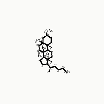 CC(=O)OC1CC[C@]2(C)[C@H]3CC[C@]4(C)[C@@H]([C@H](C)CCCC(C)C)CC[C@H]4[C@@H]3CCC2(O)C1